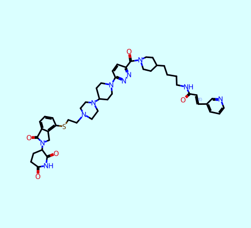 O=C(/C=C/c1cccnc1)NCCCCC1CCN(C(=O)c2ccc(N3CCC(N4CCN(CCSc5cccc6c5CN(C5CCC(=O)NC5=O)C6=O)CC4)CC3)nn2)CC1